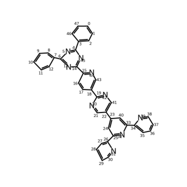 c1ccc(-c2nc(-c3ccccc3)nc(-c3ccc(-c4ncc(-c5cc(-c6ccccn6)nc(-c6ccccn6)c5)cn4)cn3)n2)cc1